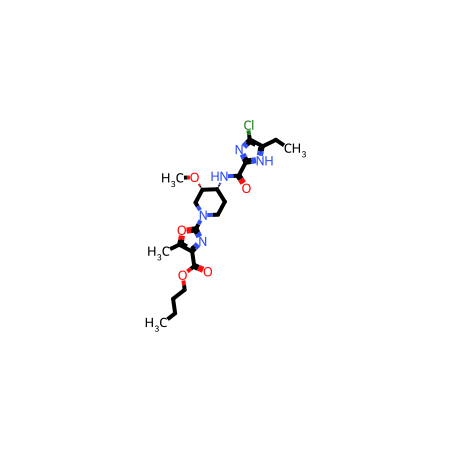 CCCCOC(=O)c1nc(N2CC[C@@H](NC(=O)c3nc(Cl)c(CC)[nH]3)[C@@H](OC)C2)oc1C